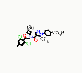 Cc1cc(Cl)c(C(=O)CN(C(=O)c2cnn(C3CCC(C(=O)O)CC3)c2C(F)(F)F)C2CC(C(C)(C)C)C2)c(Cl)c1